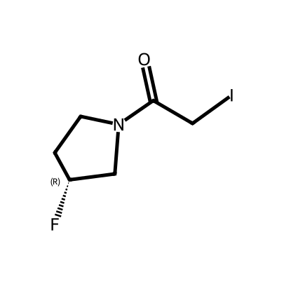 O=C(CI)N1CC[C@@H](F)C1